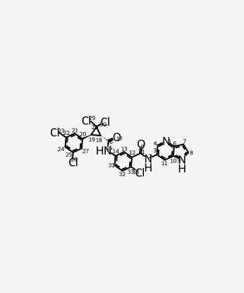 O=C(Nc1cnc2cc[nH]c2c1)c1cc(NC(=O)[C@@H]2[C@@H](c3cc(Cl)cc(Cl)c3)C2(Cl)Cl)ccc1Cl